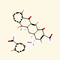 CN(C)[C@@H]1C(O)=C(C(N)=O)C(=O)[C@@]2(O)C(O)=C3C(=O)c4c(O)cccc4[C@@](C)(O)[C@H]3C[C@@H]12.NC(=O)c1ccccc1O